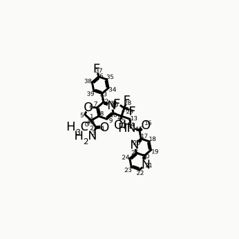 C[C@]1(C(N)=O)COc2c1cc(C(O)(CNC(=O)c1ccc3ncccc3n1)C(F)(F)F)nc2-c1ccc(F)cc1